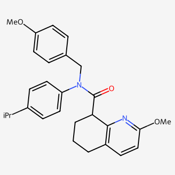 COc1ccc(CN(C(=O)C2CCCc3ccc(OC)nc32)c2ccc(C(C)C)cc2)cc1